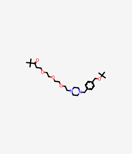 CC(C)(C)OCc1ccc(CN2CCN(CCOCCOCCOCCC(=O)C(C)(C)C)CC2)cc1